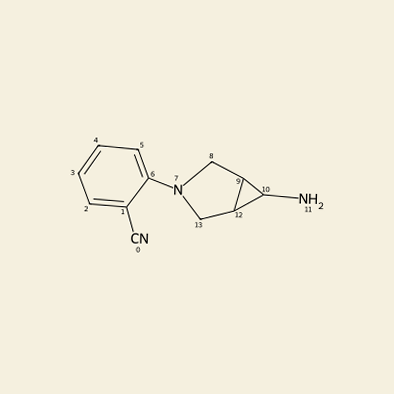 N#Cc1ccccc1N1CC2C(N)C2C1